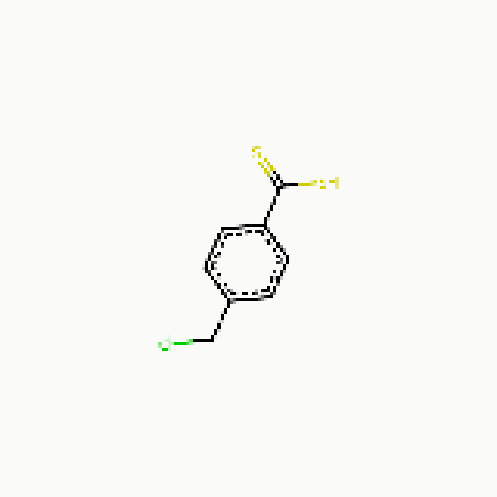 S=C(S)c1ccc(CCl)cc1